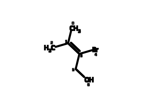 CC(C)=C(Br)CO